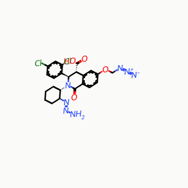 [N-]=[N+]=NCOc1ccc2c(c1)[C@@H](C(=O)O)[C@H](c1ccc(Cl)cc1Cl)N([C@H]1CCCC[C@@H]1N=NN)C2=O